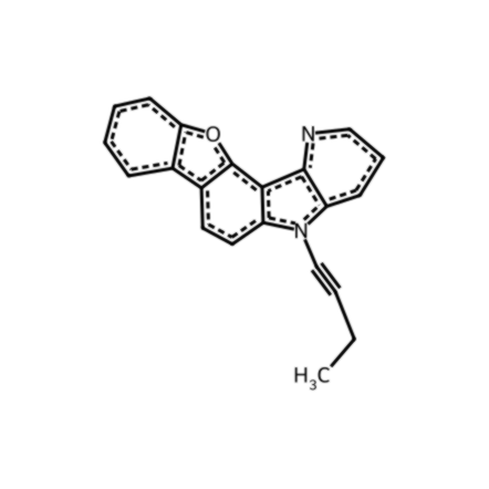 CCC#Cn1c2cccnc2c2c3oc4ccccc4c3ccc21